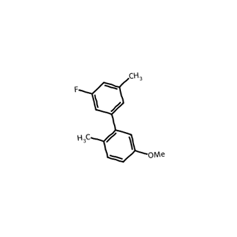 COc1ccc(C)c(-c2cc(C)cc(F)c2)c1